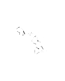 CN1C[C@H](CNc2ccccn2)C=C2c3cccc4[nH]cc(c34)C[C@H]21